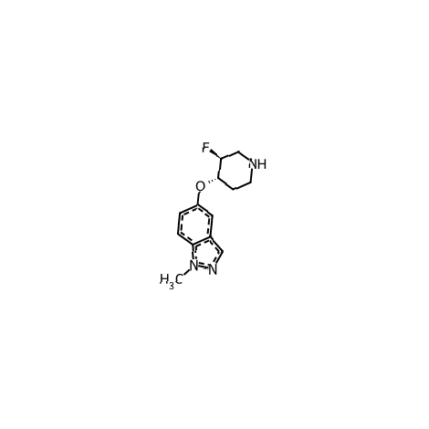 Cn1ncc2cc(O[C@H]3CCNC[C@@H]3F)ccc21